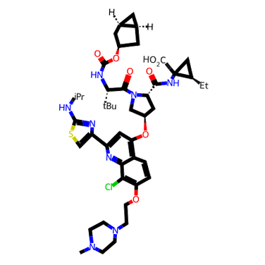 CC[C@@H]1CC1(NC(=O)[C@@H]1C[C@@H](Oc2cc(-c3csc(NC(C)C)n3)nc3c(Cl)c(OCCN4CCN(C)CC4)ccc23)CN1C(=O)[C@@H](NC(=O)O[C@@H]1C[C@@H]2C[C@@H]2C1)C(C)(C)C)C(=O)O